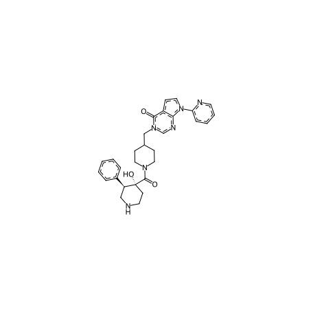 O=C(N1CCC(Cn2cnc3c(ccn3-c3ccccn3)c2=O)CC1)[C@@]1(O)CCNC[C@H]1c1ccccc1